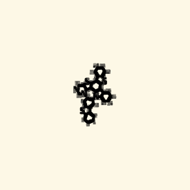 c1ccc2c(c1)sc1ccc(-n3c4ccccc4c4c5sc6ccccc6c5c5sc6cncnc6c5c43)cc12